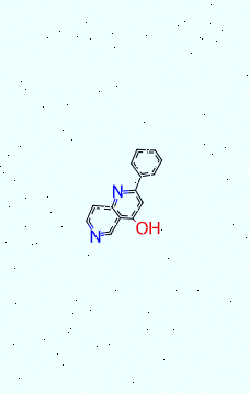 Oc1cc(-c2ccccc2)nc2ccncc12